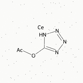 CC(=O)Oc1nnn[nH]1.[Ce]